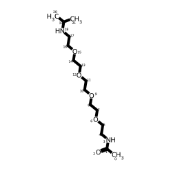 CC(=O)NCCOCCOCCOCCOCCNC(C)C